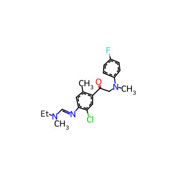 CCN(C)C=Nc1cc(C)c(C(=O)CN(C)c2ccc(F)cc2)cc1Cl